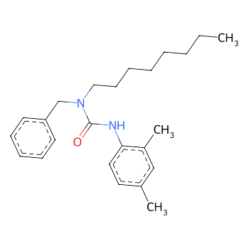 CCCCCCCCN(Cc1ccccc1)C(=O)Nc1ccc(C)cc1C